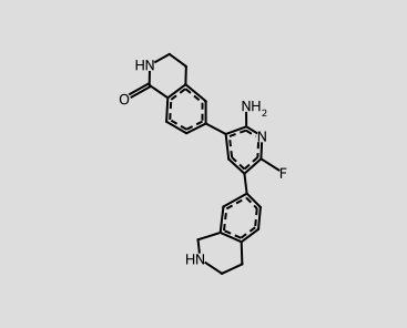 Nc1nc(F)c(-c2ccc3c(c2)CNCC3)cc1-c1ccc2c(c1)CCNC2=O